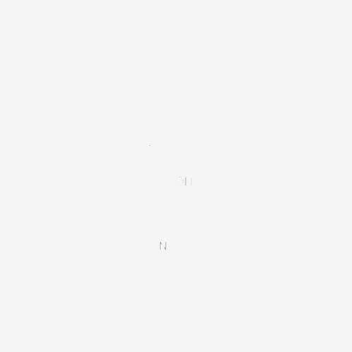 CN(C)CC1=CCC(c2ccc3ccccc3c2C(O)C(C)(C)C)=C1